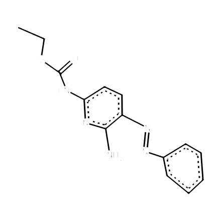 CCOC(=O)Nc1ccc(/N=N/c2ccccc2)c(N)n1